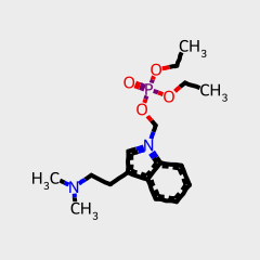 CCOP(=O)(OCC)OCn1cc(CCN(C)C)c2ccccc21